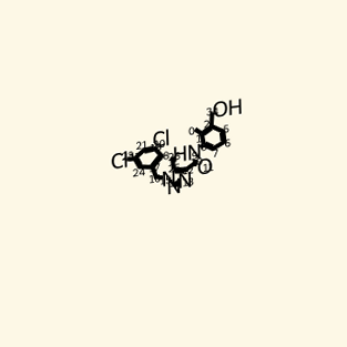 Cc1c(CO)cccc1NC(=O)c1nnn(Cc2cc(Cl)cc(Cl)c2)c1C